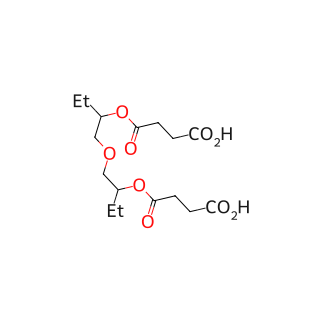 CCC(COCC(CC)OC(=O)CCC(=O)O)OC(=O)CCC(=O)O